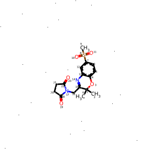 CC1(C)Oc2ccc(S(C)(=O)=O)cc2N=C1CN1C(=O)CCC1=O